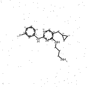 NCCCNc1nc(Nc2cccc(F)c2)ncc1CC1CC1